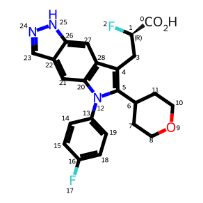 O=C(O)[C@H](F)Cc1c(C2CCOCC2)n(-c2ccc(F)cc2)c2cc3cn[nH]c3cc12